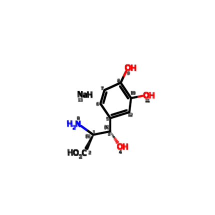 N[C@H](C(=O)O)[C@@H](O)c1ccc(O)c(O)c1.[NaH]